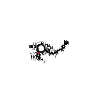 CC[C@H]1OC(=O)[C@H](C)[C@@H](O[C@H]2C[C@@](C)(OC)[C@@H](O)[C@H](C)O2)[C@H](C)[C@@H](O[C@H]2C[C@@H](N(C)CCc3cn(CCCC(=O)c4ccc(-c5cncnc5)cc4)nn3)C[C@@H](C)O2)[C@](C)(O)C[C@@H](C)CN(C)[C@H](C)[C@@H](O)[C@]1(C)O